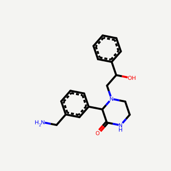 NCc1cccc(C2C(=O)NCCN2CC(O)c2ccccc2)c1